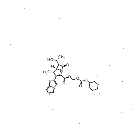 C[C@@H](O)[C@H]1C(=O)N2C(C(=O)OCOC(=O)OC3CCCCC3)=C(c3cn4cncc4s3)[C@H](C)[C@H]12